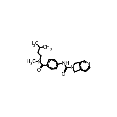 CC(C)CCN(C)C(=O)c1ccc(NC(=O)N2Cc3ccncc3C2)cc1